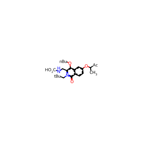 CCCCOc1c(CNC(=O)O)n(CC(C)(C)C)c(=O)c2ccc(OC(C)C(C)=O)cc12